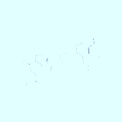 CCCc1c(OCC(O)Cc2ccc3c(=O)cc(C(=O)O)oc3c2CCC)ccc(C(C)=O)c1O